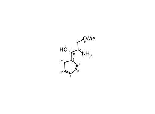 COCC(N)[C@@H](O)C1C=CC=CC1